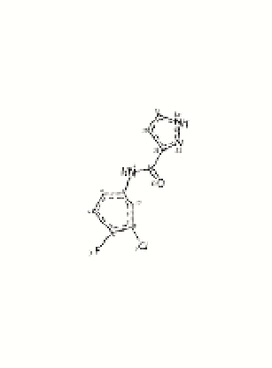 O=C(Nc1ccc(F)c(Cl)c1)c1cc[nH]n1